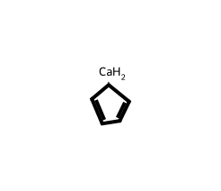 [CH]1C=CC=C1.[CaH2]